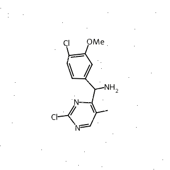 COc1cc(C(N)c2nc(Cl)ncc2C)ccc1Cl